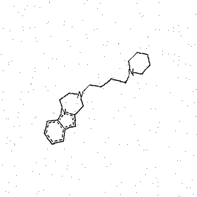 c1ccc2c(c1)cc1n2CCN(CCCCN2CCCCC2)C1